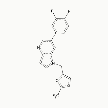 Fc1ccc(-c2cnc3ccn(Cc4ccc(C(F)(F)F)o4)c3c2)cc1F